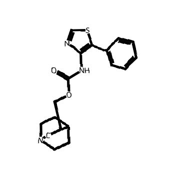 O=C(Nc1ncsc1-c1ccccc1)OCC1CN2CCC1CC2